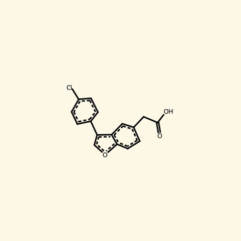 O=C(O)Cc1ccc2occ(-c3ccc(Cl)cc3)c2c1